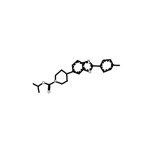 Cc1ccc(-c2nc3ccc(C4CCN(C(=O)OC(C)C)CC4)cc3o2)cc1